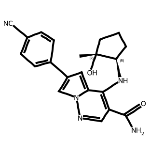 C[C@@]1(O)CCC[C@H]1Nc1c(C(N)=O)cnn2cc(-c3ccc(C#N)cc3)cc12